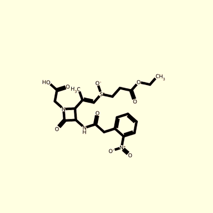 CCOC(=O)CC[S+]([O-])C=C(C)C1C(NC(=O)Cc2ccccc2[N+](=O)[O-])C(=O)N1CC(=O)O